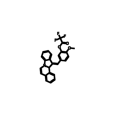 COc1ccc(C=C2c3ccccc3N3C=Cc4ccccc4C23)cc1OC(=O)C(F)(F)F